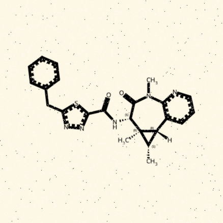 C[C@H]1[C@H]2c3cccnc3N(C)C(=O)[C@@H](NC(=O)c3nnc(Cc4ccccc4)s3)[C@@]21C